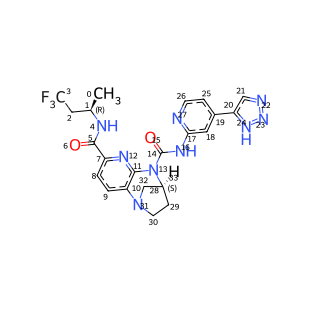 C[C@H](CC(F)(F)F)NC(=O)c1ccc2c(n1)N(C(=O)Nc1cc(-c3cnn[nH]3)ccn1)[C@H]1CCN2C1